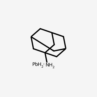 NC12CC3CC(CC(C3)C1)C2.[PbH2]